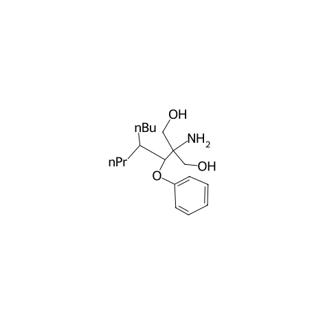 CCCCC(CCC)C(Oc1ccccc1)C(N)(CO)CO